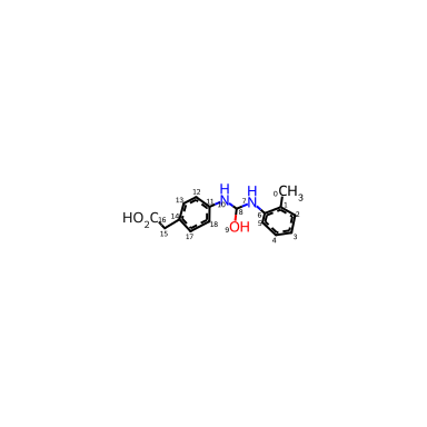 Cc1ccccc1NC(O)Nc1ccc(CC(=O)O)cc1